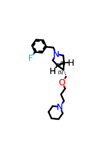 Fc1cccc(CN2C[C@@H]3[C@H](COCCCN4CCCCC4)[C@@H]3C2)c1